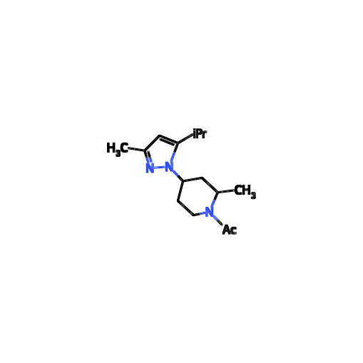 CC(=O)N1CCC(n2nc(C)cc2C(C)C)CC1C